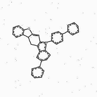 C1=C2Oc3ccccc3C2Cc2c1n(-c1ccc(-c3ccccc3)cc1)c1ccc(-c3ccccc3)cc21